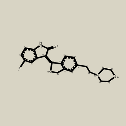 O=C1Nc2ccc(F)cc2C1=C1OCc2cc(CCN3CCSCC3)ccc21